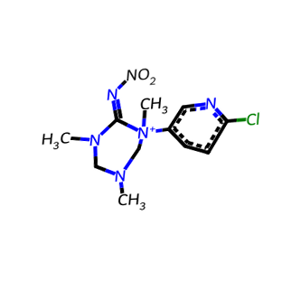 CN1CN(C)C(=N[N+](=O)[O-])[N+](C)(c2ccc(Cl)nc2)C1